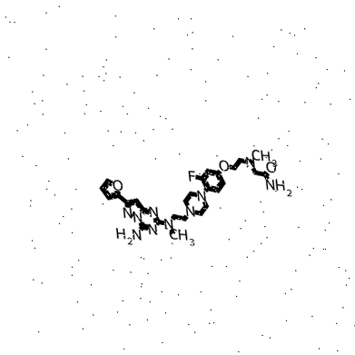 CN(CCOc1ccc(N2CCN(CCN(C)c3nc(N)n4nc(-c5ccco5)cc4n3)CC2)c(F)c1)CC(N)=O